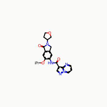 CC(C)Oc1cc2c(cc1NC(=O)c1cnn3cccnc13)CN(C1CCOC1)C2=O